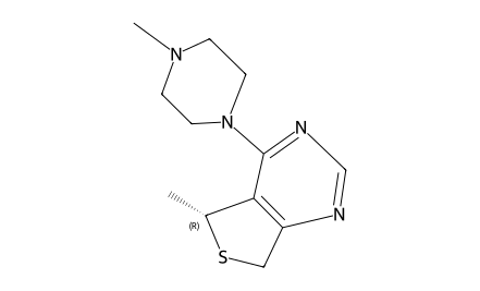 C[C@H]1SCc2ncnc(N3CCN(C)CC3)c21